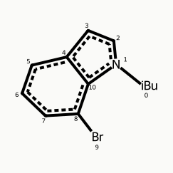 C[CH]C(C)n1ccc2cccc(Br)c21